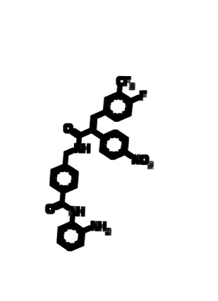 Nc1ccccc1NC(=O)c1ccc(CNC(=O)/C(=C/c2ccc(F)c(C(F)(F)F)c2)c2ccc([N+](=O)[O-])cc2)cc1